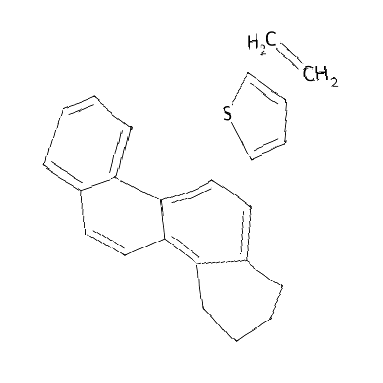 C=C.c1ccc2c(c1)ccc1c3c(ccc12)CCCC3.c1ccsc1